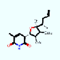 C=CC[C@H](C)[C@]1(CC)O[C@@H](C2C=C(C)C(=O)NC2=O)[C@H](OC(C)=O)[C@@H]1OC